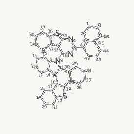 c1ccc2c(-c3nc(-n4c5ccccc5c5c6c7ccccc7sc6c6ccccc6c54)c4c(n3)sc3ccccc34)cccc2c1